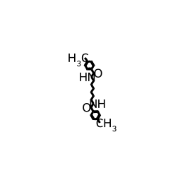 Cc1ccc(C(=O)NCCCCCCNC(=O)c2ccc(C)cc2)cc1